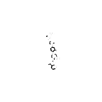 COC(=S)NC[C@H]1CN(c2ccc(N3CCNN(C(=O)OC(C)c4cccnc4)CC3)c(F)c2)C(=O)O1